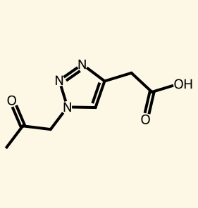 CC(=O)Cn1cc(CC(=O)O)nn1